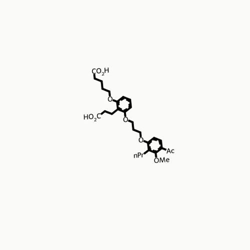 CCCc1c(OCCCOc2cccc(OCCCCC(=O)O)c2CCC(=O)O)ccc(C(C)=O)c1OC